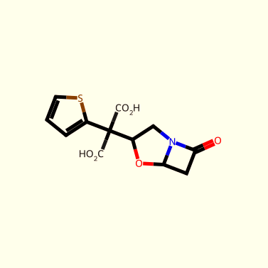 O=C1CC2OC(C(C(=O)O)(C(=O)O)c3cccs3)CN12